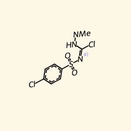 CNN/C(Cl)=N\S(=O)(=O)c1ccc(Cl)cc1